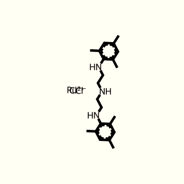 Cc1cc(C)c(NCCNCCNc2c(C)cc(C)cc2C)c(C)c1.[Cl-].[Cl-].[Ru+2]